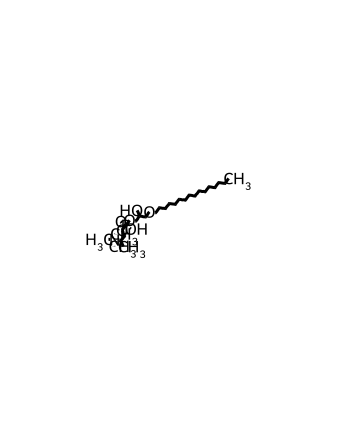 CCCCCCCCCCCCCCCCOCC(O)COP(=O)(O)OCC(C)[N+](C)(C)C